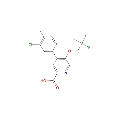 Cc1ccc(-c2cc(C(=O)O)ncc2OCC(F)(F)F)cc1Cl